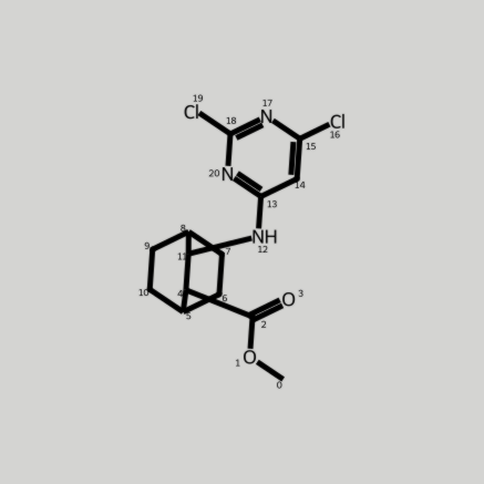 COC(=O)C1C2CCC(CC2)C1Nc1cc(Cl)nc(Cl)n1